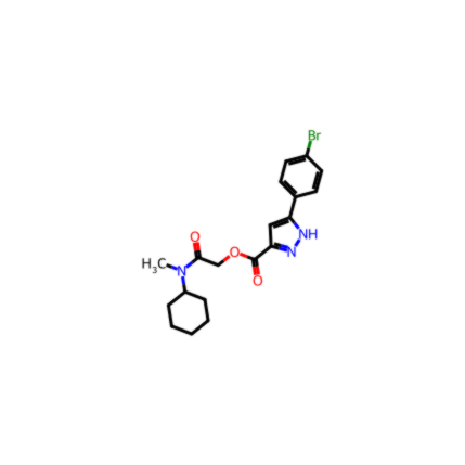 CN(C(=O)COC(=O)c1cc(-c2ccc(Br)cc2)[nH]n1)C1CCCCC1